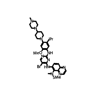 COc1cc(N2CCC(N3CCN(C)CC3)CC2)c(C(C)C)cc1Nc1ncc(Br)c(Nc2ccc3nccnc3c2N(C)SC)n1